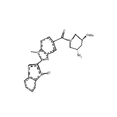 CCn1c(-c2nc3cc(C(=O)N4C[C@@H](N)C[C@H](OC)C4)ccc3n2C)cc2ccccc21